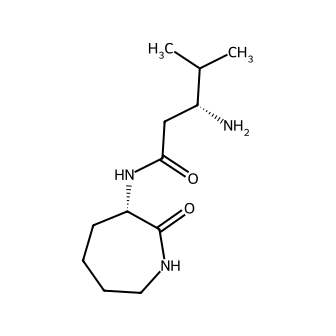 CC(C)[C@H](N)CC(=O)N[C@H]1CCCCNC1=O